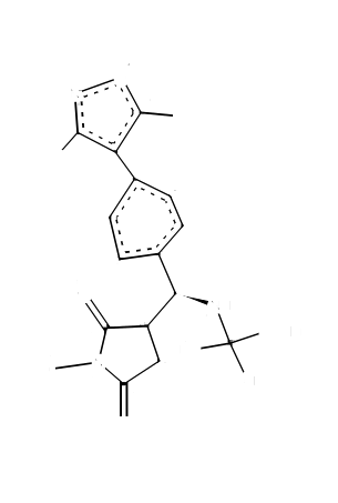 CCOC(=O)C(C)(C)N[C@H](c1ccc(-c2c(C)noc2C)cc1)C1CC(=O)N(CC)C1=O